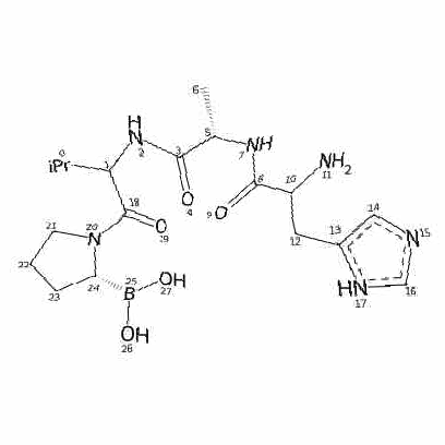 CC(C)C(NC(=O)[C@H](C)NC(=O)C(N)Cc1cnc[nH]1)C(=O)N1CCC[C@H]1B(O)O